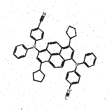 [C-]#[N+]c1ccc(N(c2ccccc2)c2cc(C3CCCC3)c3ccc4c(N(c5ccccc5)c5ccc(C#N)cc5)cc(C5CCCC5)c5ccc2c3c54)cc1